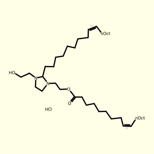 CCCCCCCC/C=C\CCCCCCCCC1N(CCO)CCN1CCOC(=O)CCCCCCC/C=C\CCCCCCCC.Cl